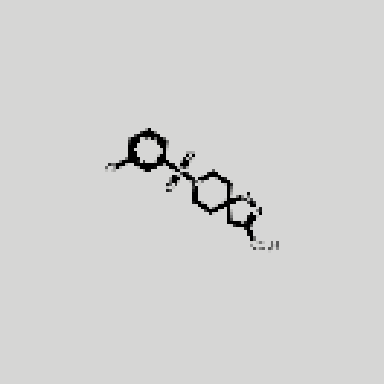 O=C(O)C1=NOC2(CCN(S(=O)(=O)c3cccc(Cl)c3)CC2)C1